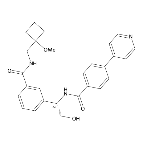 COC1(CNC(=O)c2cccc([C@@H](CO)NC(=O)c3ccc(-c4ccncc4)cc3)c2)CCC1